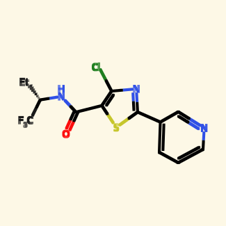 CC[C@H](NC(=O)c1sc(-c2cccnc2)nc1Cl)C(F)(F)F